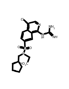 N=C(N)Nc1ncc(Cl)c2ccc(S(=O)(=O)N(CC(=O)O)CC3CCCC3)cc12